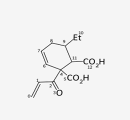 C=CC(=O)C1(C(=O)O)C=CCC(CC)C1C(=O)O